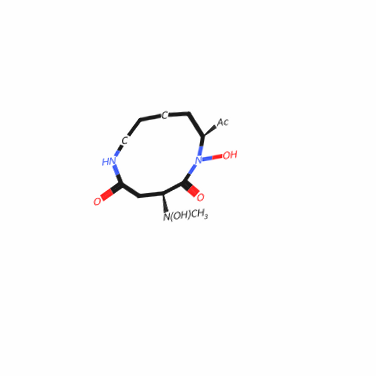 CC(=O)[C@@H]1CCCCNC(=O)C[C@H](N(C)O)C(=O)N1O